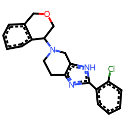 Clc1ccccc1-c1nc2c([nH]1)CN(C1COCc3ccccc31)CC2